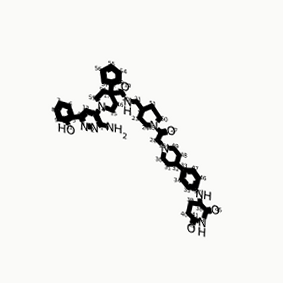 Nc1nnc(-c2ccccc2O)cc1N1CCC(C(=O)NCC2CCN(C(=O)CN3CCC(c4ccc(NC5CCC(=O)NC5=O)cc4)CC3)CC2)(c2ccccc2)CC1